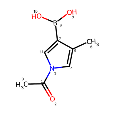 CC(=O)n1cc(C)c(B(O)O)c1